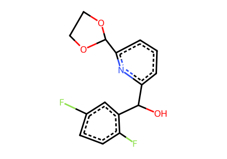 OC(c1cccc(C2OCCO2)n1)c1cc(F)ccc1F